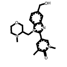 Cc1cc(-c2nc3cc(CO)ccc3n2CC2COCCN2C)cn(C)c1=O